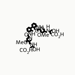 COc1cc(C(=O)Nc2cccc(-c3cccc(NC(=O)c4cc(OC)c(CNC(CO)CC(=O)O)cn4)c3C)c2C)ncc1CNC(CO)CC(=O)O